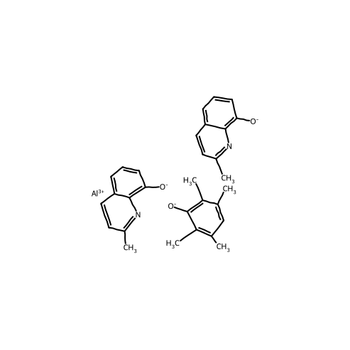 Cc1cc(C)c(C)c([O-])c1C.Cc1ccc2cccc([O-])c2n1.Cc1ccc2cccc([O-])c2n1.[Al+3]